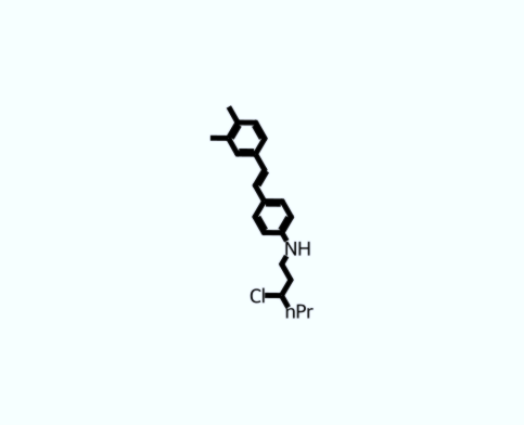 CCCC(Cl)CCNc1ccc(C=Cc2ccc(C)c(C)c2)cc1